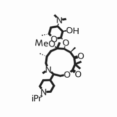 CO[C@]1(C)C[C@@H](C)CN(C)C(C2CCN(C(C)C)CC2)COC(=O)C(C)(C)C(=O)[C@H](C)[C@H]1O[C@@H]1O[C@H](C)C[C@H](N(C)C)[C@H]1O